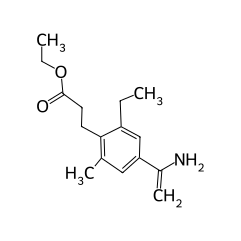 C=C(N)c1cc(C)c(CCC(=O)OCC)c(CC)c1